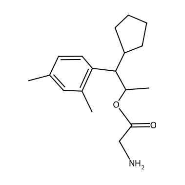 Cc1ccc(C(C2CCCC2)C(C)OC(=O)CN)c(C)c1